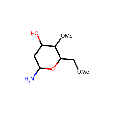 COCC1OC(N)CC(O)C1OC